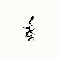 C#CCOC(=O)C1(F)COS(=O)(=O)O1